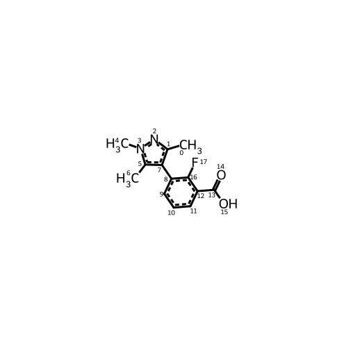 Cc1nn(C)c(C)c1-c1cccc(C(=O)O)c1F